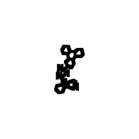 c1ccc2c(c1)c1ccccc1c1cc(-c3ncnc(-n4c5ccccc5c5cnccc54)n3)ccc21